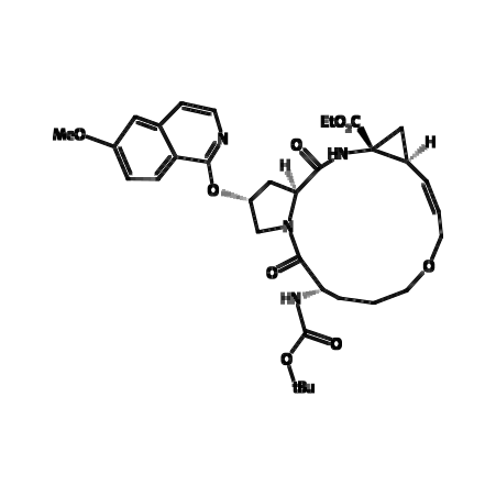 CCOC(=O)[C@@]12C[C@H]1/C=C\COCCC[C@H](NC(=O)OC(C)(C)C)C(=O)N1C[C@H](Oc3nccc4cc(OC)ccc34)C[C@H]1C(=O)N2